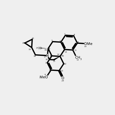 COC1=CC2[C@@H]3Cc4ccc(OC)c(C)c4[C@]2(CCN3CC2CC2)CC1=O